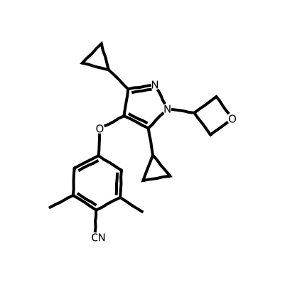 Cc1cc(Oc2c(C3CC3)nn(C3COC3)c2C2CC2)cc(C)c1C#N